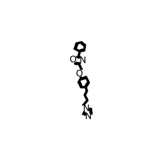 c1ccc(-c2nc(COc3ccc(CCCCn4ccnc4)cc3)co2)cc1